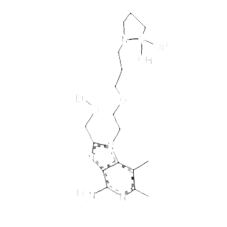 CCOCc1nc2c(N)nc(C)c(C)c2n1CCOCCCN1CCCS1(O)O